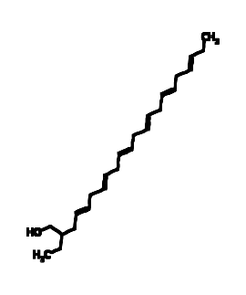 CCC=CCC=CCC=CCC=CCC=CCC=CCC(CC)CO